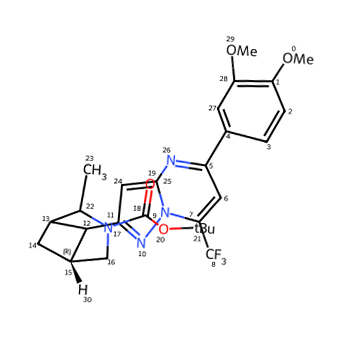 COc1ccc(-c2cc(C(F)(F)F)n3nc(C4C5C[C@H]4CN(C(=O)OC(C)(C)C)C5C)cc3n2)cc1OC